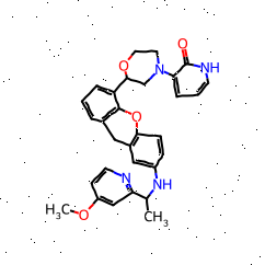 COc1ccnc(C(C)Nc2ccc3c(c2)Cc2cccc(C4CN(c5ccc[nH]c5=O)CCO4)c2O3)c1